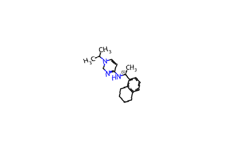 CC(C)N1C=CC(N[C@@H](C)c2cccc3c2CCCC3)=NC1